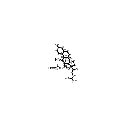 CCCC(=O)OCC(=O)[C@@]1(OC(=O)OCC(C)CCC)CC[C@H]2[C@@H]3CCC4=CC(=O)C=C[C@]4(C)[C@H]3C(O)C[C@@]21C